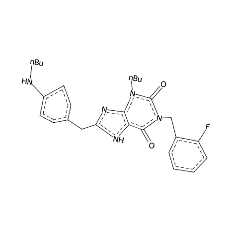 CCCCNc1ccc(Cc2nc3c([nH]2)c(=O)n(Cc2ccccc2F)c(=O)n3CCCC)cc1